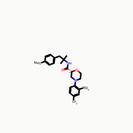 COc1ccc(CC(C)(C)NC(=O)[C@H]2CN(c3ccc(C(F)(F)F)cc3[N+](=O)[O-])CCO2)cc1